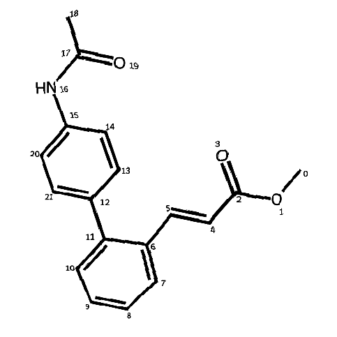 COC(=O)/C=C/c1ccccc1-c1ccc(NC(C)=O)cc1